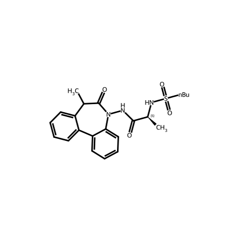 CCCCS(=O)(=O)N[C@@H](C)C(=O)NN1C(=O)C(C)c2ccccc2-c2ccccc21